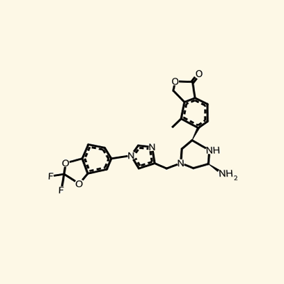 Cc1c([C@@H]2CN(Cc3cn(-c4ccc5c(c4)OC(F)(F)O5)cn3)C[C@H](N)N2)ccc2c1COC2=O